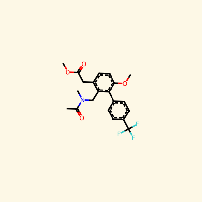 COC(=O)Cc1ccc(OC)c(-c2ccc(C(F)(F)F)cc2)c1CN(C)C(C)=O